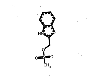 CS(=O)(=O)O[CH]c1cc2ccccc2[nH]1